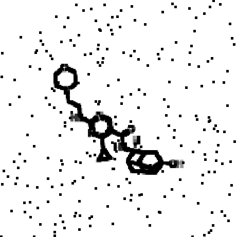 O=C(N[C@H]1C2CC3CC1C[C@@](O)(C3)C2)c1cnc(NCCN2CCOCC2)nc1C1CC1